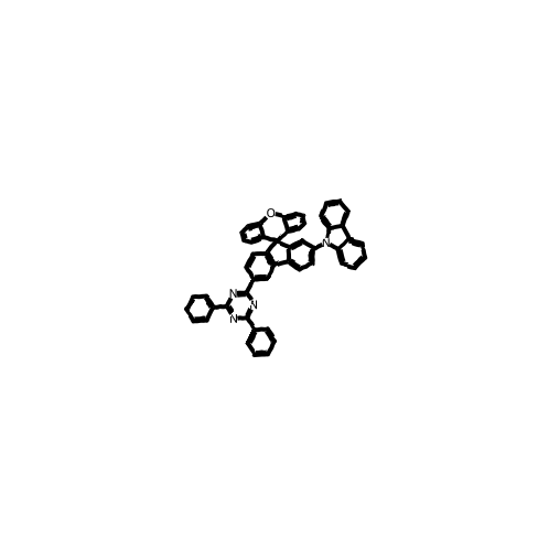 c1ccc(-c2nc(-c3ccccc3)nc(-c3ccc4c(c3)-c3ccc(-n5c6ccccc6c6ccccc65)cc3C43c4ccccc4Oc4ccccc43)n2)cc1